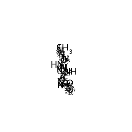 CN1CCN(c2cc(Nc3ncc4c(-c5ccn6ncc(C(=O)N7CCCCC7)c6c5)c[nH]c4n3)ccn2)CC1